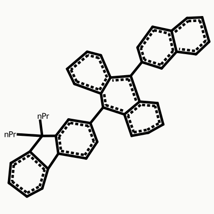 CCCC1(CCC)c2ccccc2-c2ccc(-c3c4ccccc4c(-c4ccc5ccccc5c4)c4ccccc34)cc21